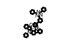 CC1(C)c2ccccc2-c2c1c1c(ccc3c4ccccc4n(-c4cccc(-c5cccc(-c6nc(-c7ccccc7)nc(-c7ccccc7)n6)c5)c4)c31)n2-c1ccccc1